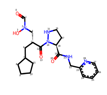 O=CN(O)C[C@@H](CC1CCCC1)C(=O)N1NCC[C@H]1C(=O)NCc1ccccn1